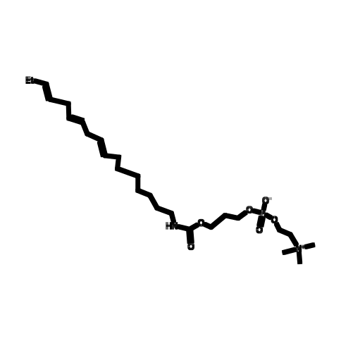 CCC=CCC=CCC=CCCCCCCCNC(=O)OCCCOP(=O)([O-])OCC[N+](C)(C)C